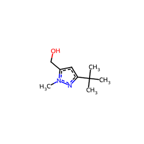 Cn1nc(C(C)(C)C)cc1CO